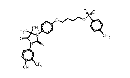 Cc1ccc(S(=O)(=O)OCCCCOc2ccc(N3C(=S)N(c4ccc(C#N)c(C(F)(F)F)c4)C(=O)C3(C)C)cc2)cc1